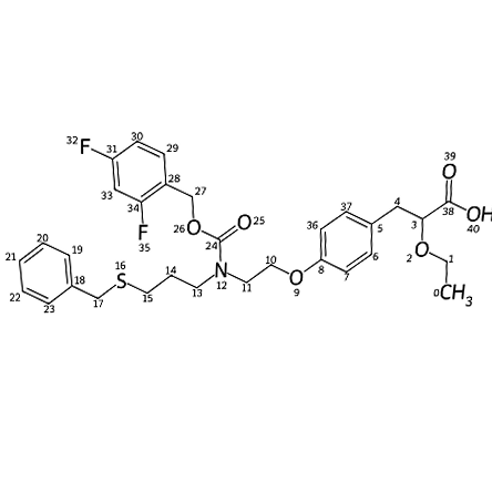 CCOC(Cc1ccc(OCCN(CCCSCc2ccccc2)C(=O)OCc2ccc(F)cc2F)cc1)C(=O)O